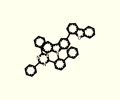 c1ccc(-c2nc(-c3ccccc3)nc(-c3cccc(-c4ccccc4)c3-n3c4ccccc4c4cc(-c5cccc6c5oc5ccccc56)ccc43)n2)cc1